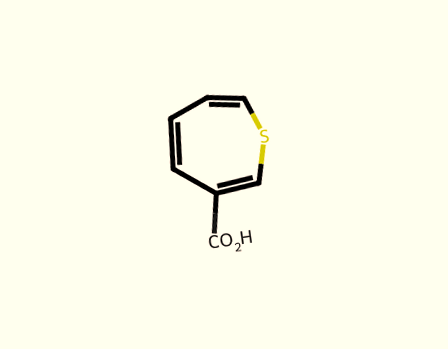 O=C(O)C1=CSC=CC=C1